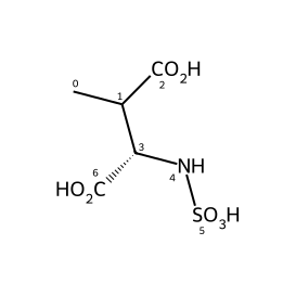 CC(C(=O)O)[C@H](NS(=O)(=O)O)C(=O)O